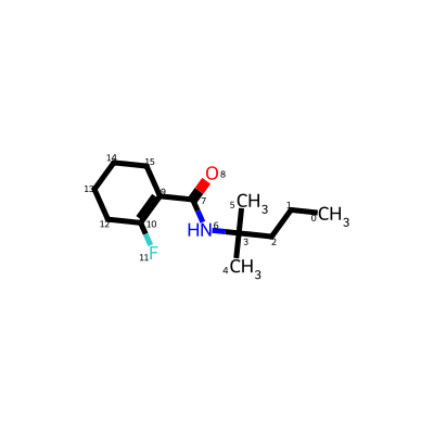 CCCC(C)(C)NC(=O)C1=C(F)CCCC1